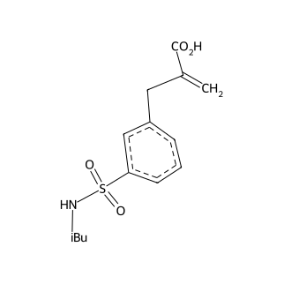 C=C(Cc1cccc(S(=O)(=O)NC(C)CC)c1)C(=O)O